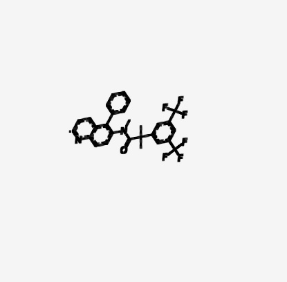 CN(C(=O)C(C)(C)c1cc(C(F)(F)F)cc(C(F)(F)F)c1)c1ccc2n[c]ccc2c1-c1ccccc1